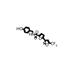 O=S(=O)(NCc1ccc(O)cc1)c1ccc(-c2cc(C(F)(F)F)on2)o1